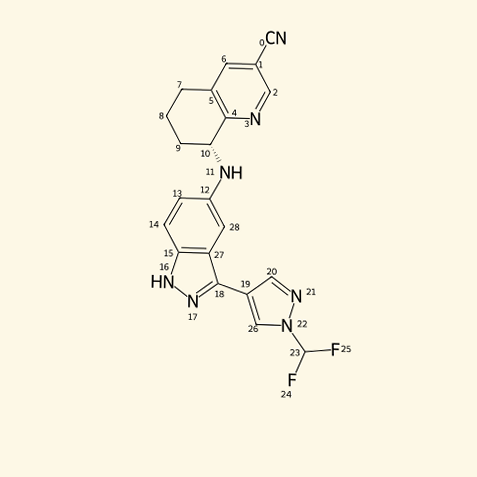 N#Cc1cnc2c(c1)CCC[C@H]2Nc1ccc2[nH]nc(-c3cnn(C(F)F)c3)c2c1